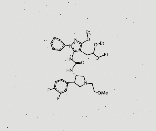 CCOc1nn(-c2ccccc2)c(NC(=O)N[C@@H]2CN(CCOC)C[C@H]2c2ccc(F)c(F)c2)c1CC(OCC)OCC